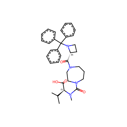 CC(C)[C@@H](C(=O)O)N(C)C(=O)N1CCCN(C(=O)[C@H]2CCN2C(c2ccccc2)(c2ccccc2)c2ccccc2)CC1